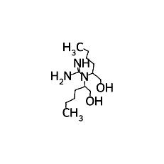 CCCCC(CO)N(C(=N)N)C(CO)CCCC